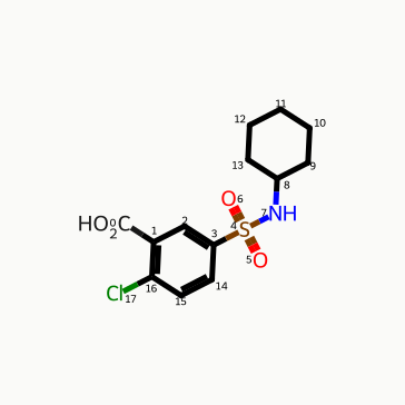 O=C(O)c1cc(S(=O)(=O)NC2CCCCC2)ccc1Cl